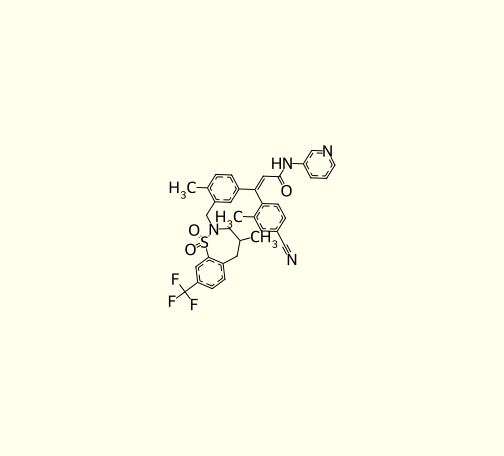 Cc1ccc(C(=CC(=O)Nc2cccnc2)c2ccc(C#N)cc2C)cc1CN1CC(C)Cc2ccc(C(F)(F)F)cc2S1(=O)=O